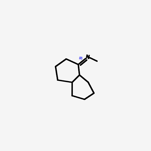 C/N=C1/CCCC2CCCCC12